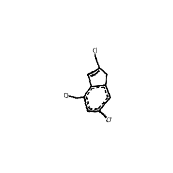 ClC1=Cc2c(Cl)cc(Cl)cc2C1